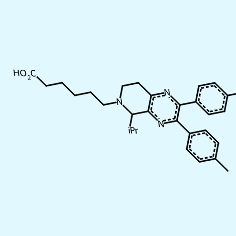 Cc1ccc(-c2nc3c(nc2-c2ccc(C)cc2)C(C(C)C)N(CCCCCC(=O)O)CC3)cc1